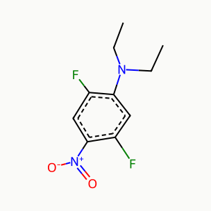 CCN(CC)c1cc(F)c([N+](=O)[O-])cc1F